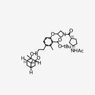 CC(=O)N[C@H]1CC[C@H](C(=O)N2CC(Oc3ccc(CCB4O[C@@H]5C[C@@H]6C[C@@H](C6(C)C)[C@]5(C)O4)c(C)c3C(=O)OC(C)(C)C)C2)C1